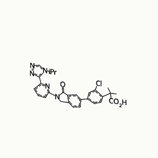 CC(C)n1cnnc1-c1cccc(N2Cc3ccc(-c4ccc(C(C)(C)C(=O)O)c(Cl)c4)cc3C2=O)n1